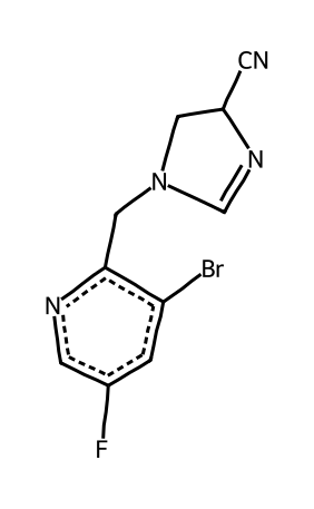 N#CC1CN(Cc2ncc(F)cc2Br)C=N1